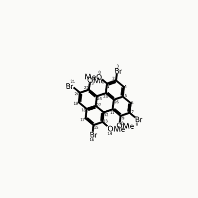 COc1c(Br)cc2cc(Br)c(OC)c3c4c(OC)c(Br)cc5cc(Br)c(OC)c(c1c23)c54